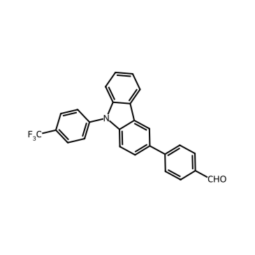 O=Cc1ccc(-c2ccc3c(c2)c2ccccc2n3-c2ccc(C(F)(F)F)cc2)cc1